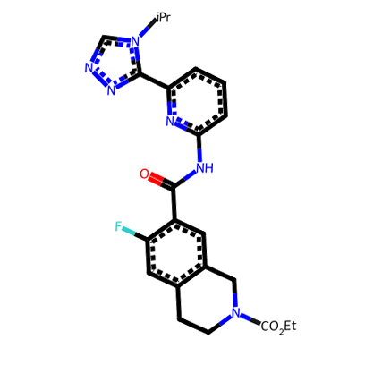 CCOC(=O)N1CCc2cc(F)c(C(=O)Nc3cccc(-c4nncn4C(C)C)n3)cc2C1